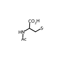 CC(=O)NC(C[S])C(=O)O